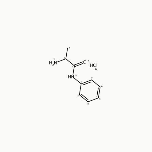 CC(N)C(=O)Nc1ccccc1.Cl